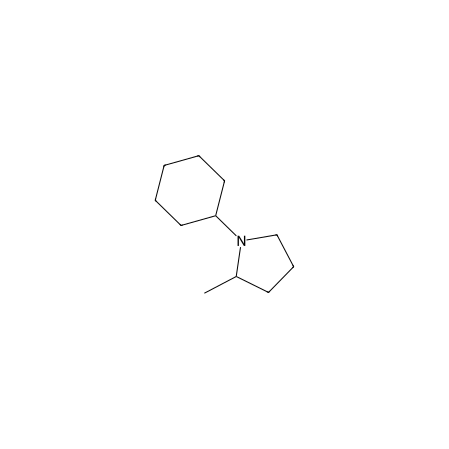 CC1CCCN1C1CCCCC1